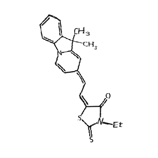 CCN1C(=O)C(=CC=C2C=CN3C(=C2)C(C)(C)c2ccccc23)SC1=S